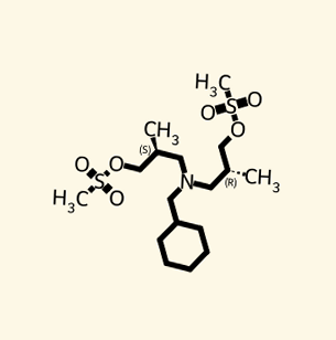 C[C@H](COS(C)(=O)=O)CN(CC1CCCCC1)C[C@@H](C)COS(C)(=O)=O